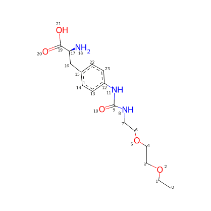 CCOCCOCCNC(=O)Nc1ccc(C[C@H](N)C(=O)O)cc1